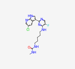 CNC(=O)NCCCCCNc1nc(-c2c[nH]c3ncc(Cl)cc23)ncc1F